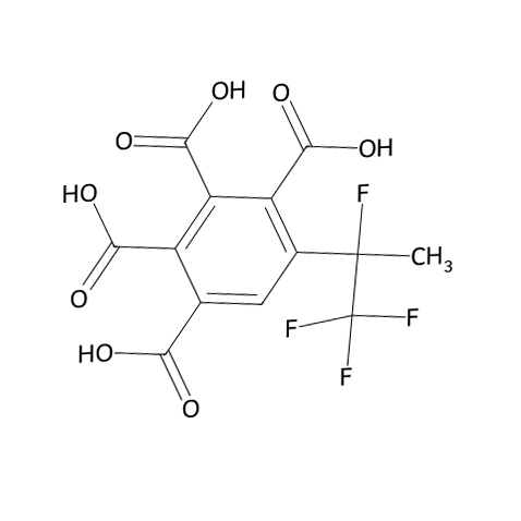 CC(F)(c1cc(C(=O)O)c(C(=O)O)c(C(=O)O)c1C(=O)O)C(F)(F)F